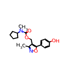 Cc1noc(-c2ccc(O)cc2)c1COC(=O)N(C)C1CCCC1